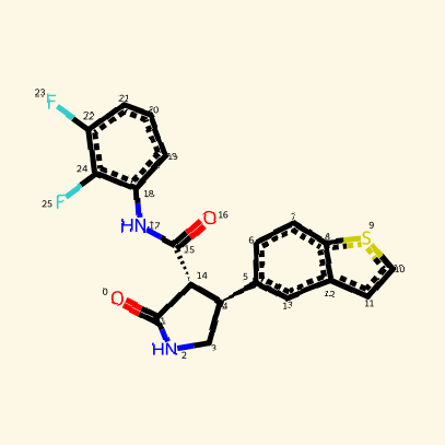 O=C1NC[C@H](c2ccc3sccc3c2)[C@H]1C(=O)Nc1cccc(F)c1F